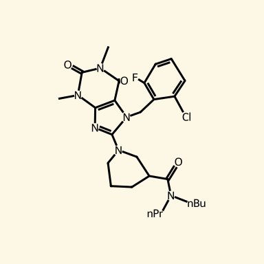 CCCCN(CCC)C(=O)C1CCCN(c2nc3c(c(=O)n(C)c(=O)n3C)n2Cc2c(F)cccc2Cl)C1